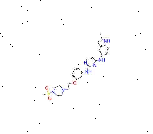 Cc1cc2cc(Nc3ccnc(Nc4cccc(OCCN5CCN(S(C)(=O)=O)CC5)c4)n3)ccc2[nH]1